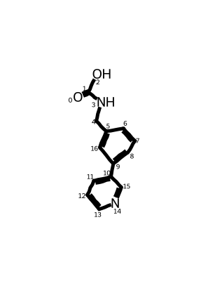 O=C(O)NCc1cccc(-c2cccnc2)c1